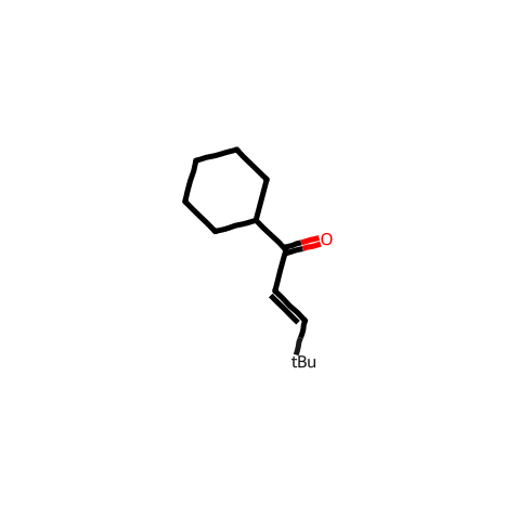 CC(C)(C)C=CC(=O)C1CCCCC1